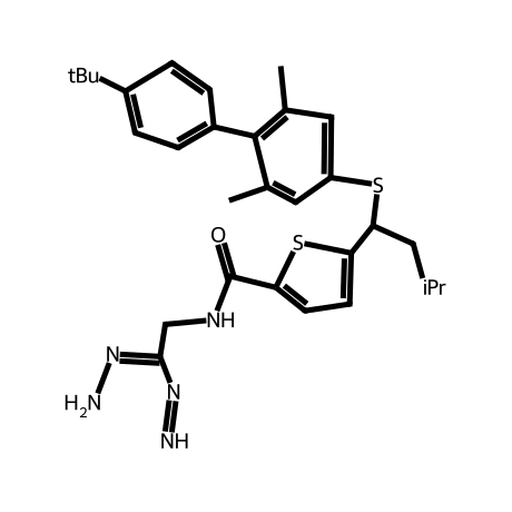 Cc1cc(SC(CC(C)C)c2ccc(C(=O)NC/C(N=N)=N/N)s2)cc(C)c1-c1ccc(C(C)(C)C)cc1